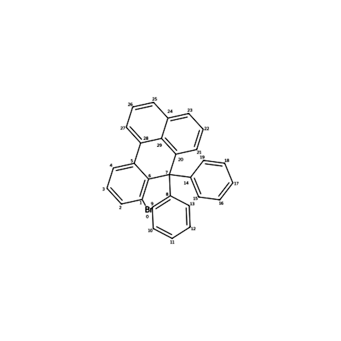 Brc1cccc2c1C(c1ccccc1)(c1ccccc1)c1cccc3cccc-2c13